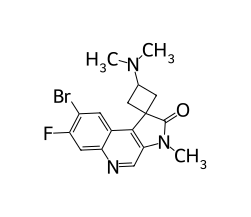 CN1C(=O)C2(CC(N(C)C)C2)c2c1cnc1cc(F)c(Br)cc21